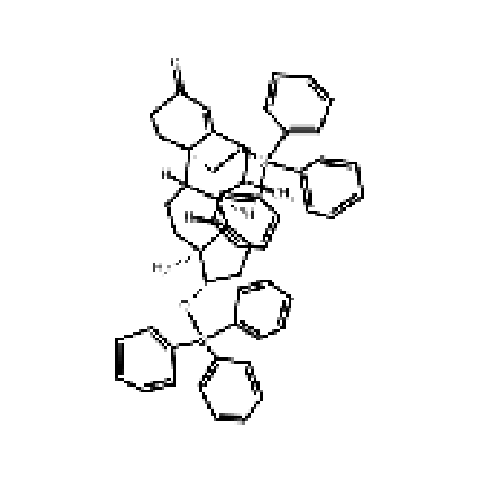 C[C@@H]1CC2=CC(=O)CC[C@]2(CO[Si](c2ccccc2)(c2ccccc2)c2ccccc2)[C@H]2CC[C@]3(C)[C@@H](O[Si](c4ccccc4)(c4ccccc4)c4ccccc4)CC[C@H]3[C@H]12